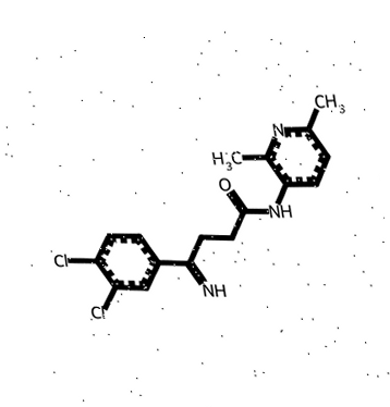 Cc1ccc(NC(=O)CCC(=N)c2ccc(Cl)c(Cl)c2)c(C)n1